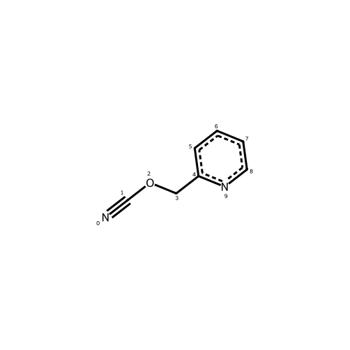 N#COCc1ccccn1